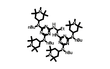 CCCCN(c1nc(NC(CC)Nc2nc(N(CCCC)C3CC(C)(C)N(C)C(C)(C)C3)nc(N(CCCC)C3CC(C)(C)N(C)C(C)(C)C3)n2)nc(N(CCCC)C2CC(C)(C)N(C)C(C)(C)C2)n1)C1CC(C)(C)N(C)C(C)(C)C1